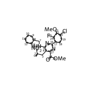 C=C(C)Cc1c(NCc2ccccc2[N+](=O)[O-])nc(-c2ccc(Cl)c(OC)c2F)nc1C(=O)OC